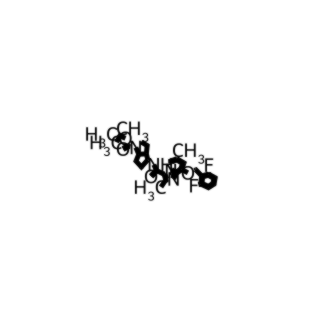 Cc1cc(OCc2c(F)cccc2F)c2nc(C)c(C(=O)NC3CCC4C3CCN4C(=O)OC(C)(C)C)n2c1